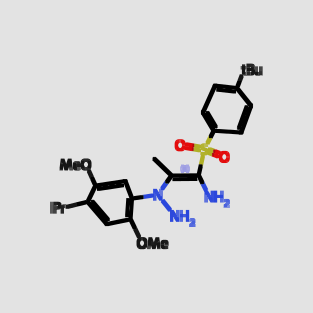 COc1cc(N(N)/C(C)=C(\N)S(=O)(=O)c2ccc(C(C)(C)C)cc2)c(OC)cc1C(C)C